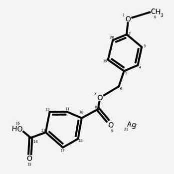 COc1ccc(COC(=O)c2ccc(C(=O)O)cc2)cc1.[Ag]